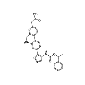 CC(OC(=O)Nc1cnoc1-c1ccc2c(c1)NCc1cc(CC(=O)O)ccc1-2)c1ccccc1